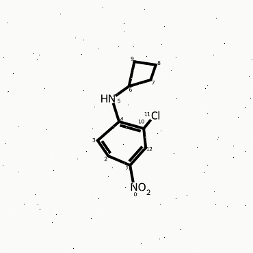 O=[N+]([O-])c1ccc(NC2CCC2)c(Cl)c1